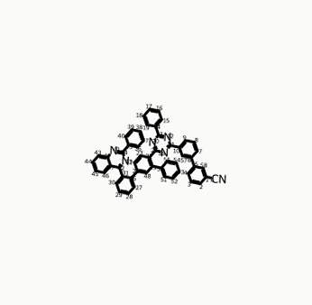 N#Cc1cccc(-c2cccc(-c3nc(-c4ccccc4)nc(-c4ccc(-c5ccccc5-c5nc(-c6ccccc6)nc6ccccc56)cc4-c4ccccc4)n3)c2)c1